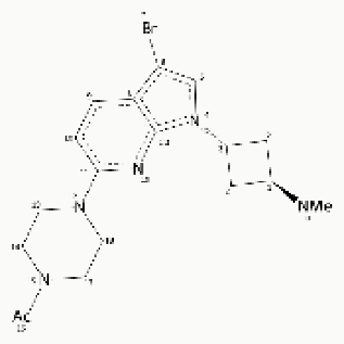 CN[C@H]1C[C@H](n2cc(Br)c3ccc(N4CCN(C(C)=O)CC4)nc32)C1